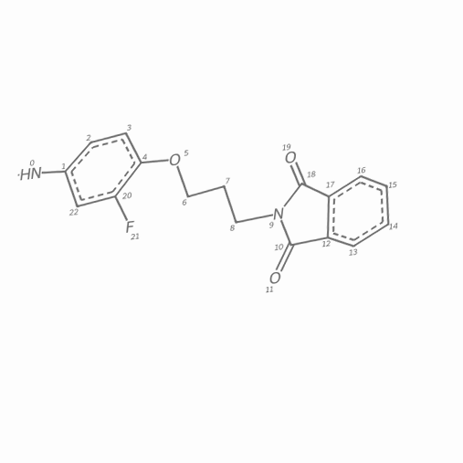 [NH]c1ccc(OCCCN2C(=O)c3ccccc3C2=O)c(F)c1